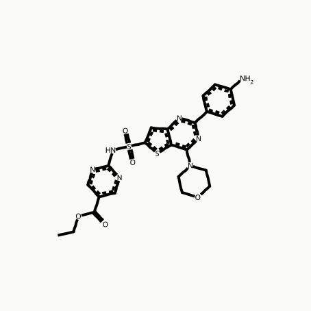 CCOC(=O)c1cnc(NS(=O)(=O)c2cc3nc(-c4ccc(N)cc4)nc(N4CCOCC4)c3s2)nc1